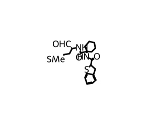 CSCC[C@@H](C=O)NC(=O)C1(NC(=O)C2Cc3ccccc3S2)CCCCC1